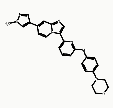 Cn1cc(-c2ccn3c(-c4cccc(Nc5ccc(N6CCOCC6)cc5)n4)cnc3c2)cn1